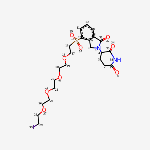 O=C1CCC(N2Cc3c(cccc3S(=O)(=O)CCOCCOCCOCCOCCI)C2=O)C(=O)N1